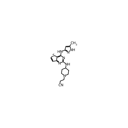 Cc1cc(Nc2nc(NC3CCN(CCC#N)CC3)nc3ccsc23)n[nH]1